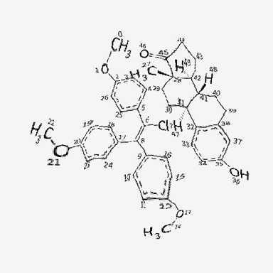 COc1ccc(C(Cl)=C(c2ccc(OC)cc2)c2ccc(OC)cc2)cc1.C[C@]12CC[C@@H]3c4ccc(O)cc4CC[C@H]3[C@@H]1CCC2=O